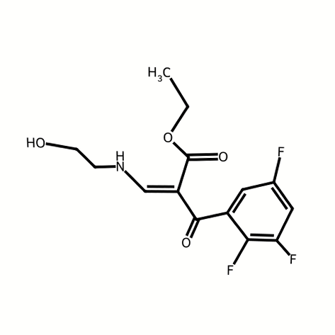 CCOC(=O)C(=CNCCO)C(=O)c1cc(F)cc(F)c1F